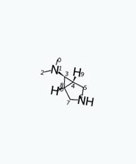 CN(C)[C@H]1[C@@H]2CNC[C@@H]21